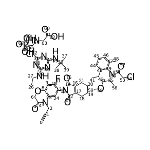 C#CCN1C(=O)COc2cc(F)c(N3C(=O)C4=C(CCCC4)C3=O)cc21.CCNc1nc(Cl)nc(NC(C)(C)C)n1.CCc1cccc(C)c1N(C(=O)CCl)C(C)COC.O=C(O)CNCP(=O)(O)O